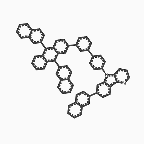 c1cc(-c2ccc(-n3c4cc(-c5ccc6ccccc6c5)ccc4c4ncccc43)cc2)cc(-c2ccc3c(-c4ccc5ccccc5c4)c4ccccc4c(-c4ccc5ccccc5c4)c3c2)c1